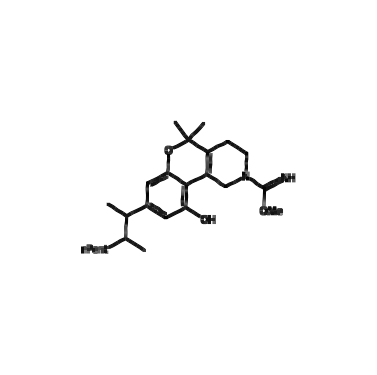 CCCCCC(C)C(C)c1cc(O)c2c(c1)OC(C)(C)C1=C2CN(C(=N)OC)CC1